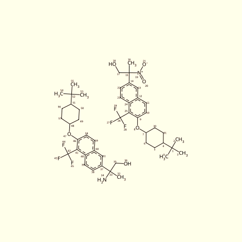 CC(C)(C)C1CCC(Oc2ccc3cc(C(C)(CO)[N+](=O)[O-])ccc3c2C(F)(F)F)CC1.CC(N)(CO)c1ccc2c(C(F)(F)F)c(OC3CCC(C(C)(C)C)CC3)ccc2c1